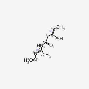 C=N/N=C(\C)NC(=O)C/C(S)=C/C